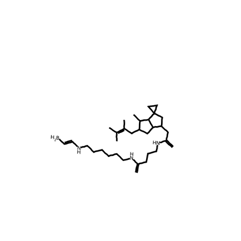 B/C=C/NCCCCCCNC(=C)CCCNC(=C)CC1CC2(CC2)C2C(C)C(CC(C)=C(C)C)CC12